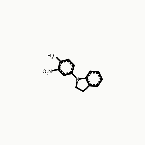 Cc1ccc(N2CCc3ccccc32)cc1[N+](=O)[O-]